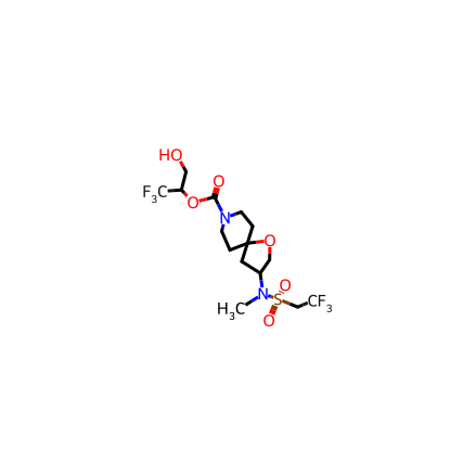 CN(C1COC2(CCN(C(=O)OC(CO)C(F)(F)F)CC2)C1)S(=O)(=O)CC(F)(F)F